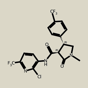 CN1C[C@@H](c2ccc(C(F)(F)F)cc2)[C@H](C(=O)Nc2ccc(C(F)(F)F)nc2Cl)C1=O